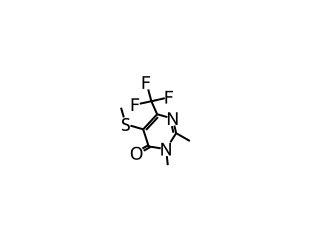 CSc1c(C(F)(F)F)nc(C)n(C)c1=O